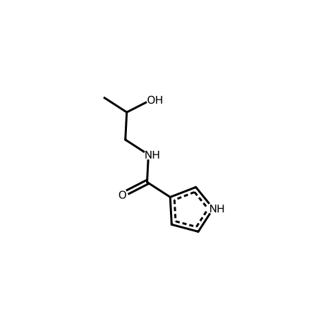 CC(O)CNC(=O)c1cc[nH]c1